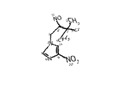 CC(C)(Cl)C(Cn1cnc([N+](=O)[O-])c1)N=O